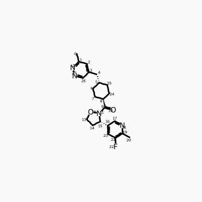 Cc1cc(C[C@H]2CC[C@H](C(=O)N3OCC[C@H]3c3cnc(C)c(F)c3)CC2)cnn1